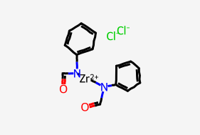 O=C[N]([Zr+2][N](C=O)c1ccccc1)c1ccccc1.[Cl-].[Cl-]